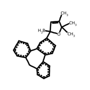 BC1(c2ccc3c(c2)-c2ccccc2Cc2ccccc2-3)C=C(C)C(C)(C)O1